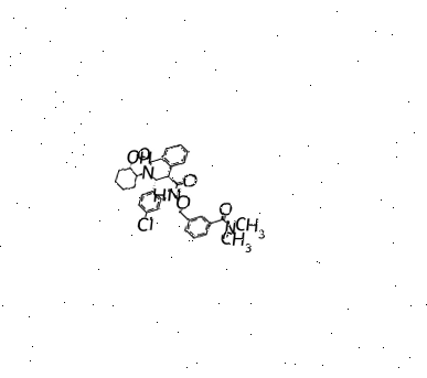 CN(C)C(=O)c1cccc(CONC(=O)[C@@H]2c3ccccc3C(=O)N([C@H]3CCCC[C@@H]3O)[C@H]2c2ccc(Cl)cc2)c1